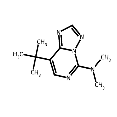 CN(C)c1ncc(C(C)(C)C)c2ncnn12